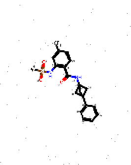 CC(C)S(=O)(=O)Nc1cc(C(F)(F)F)ccc1C(=O)NC12CC(c3ccccc3)(C1)C2